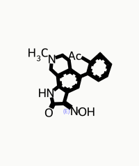 CC(=O)c1ccccc1-c1cc2c(c3c1CCN(C)C3)NC(=O)/C2=N/O